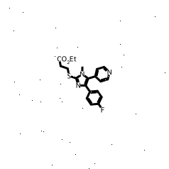 CCOC(=O)CCSc1nc(-c2ccc(F)cc2)c(-c2ccncc2)n1C